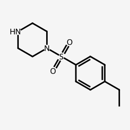 CCc1ccc(S(=O)(=O)N2CCNCC2)cc1